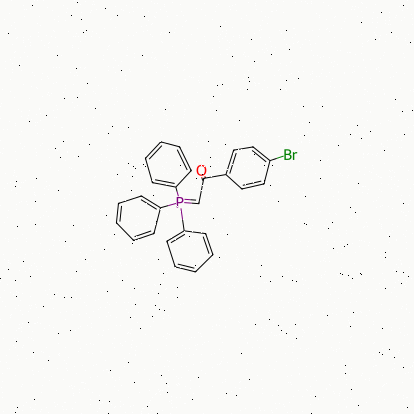 O=C(C=P(c1ccccc1)(c1ccccc1)c1ccccc1)c1ccc(Br)cc1